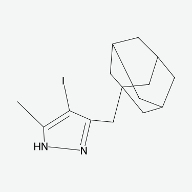 Cc1[nH]nc(CC23CC4CC(CC(C4)C2)C3)c1I